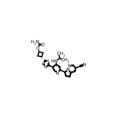 CC(C)Nc1cc(-c2ccc3cc(C#N)cnn23)ncc1-c1nnc([C@H]2C[C@H](OC(N)=O)C2)s1